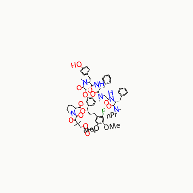 C=CC(=O)OCC(C)(C)C(=O)C(=O)N1CCCC[C@H]1C(=O)O[C@H](CCc1cc(OC)c(OC)cc1F)c1cccc(OCC(=O)N(C)[C@@H](Cc2ccc(O)cc2)C(=O)N[C@H](Cc2ccccc2)C(=O)N(C)CC(=O)N[C@H](Cc2ccccc2)C(=O)N(C)CCC)c1